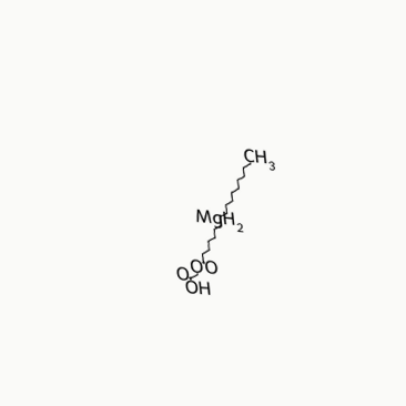 CCCCCCCCCCCCCCCCCC(=O)OCC(=O)O.[MgH2]